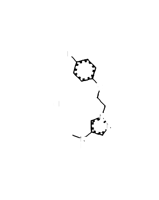 CNc1cnn(CCOc2ccc(F)cc2)c1.Cl